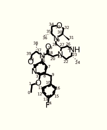 CCOc1nc2c(cc1Cc1ccc(F)cc1)N(C(=O)CN1C[C@@H](C)NC[C@@H]1CN1[C@H](C)COC[C@H]1C)[C@@H](C)CO2